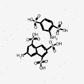 Nc1cc(S(=O)(=O)O)c2cc(S(=O)(=O)O)cc(S(=O)(=O)O)c2c1.Nc1cc(S(=O)(=O)O)ccc1S(=O)(=O)O